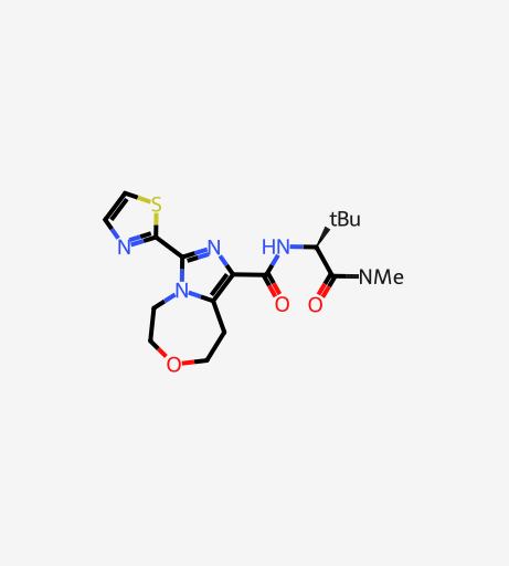 CNC(=O)[C@@H](NC(=O)c1nc(-c2nccs2)n2c1CCOCC2)C(C)(C)C